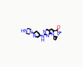 CN(C)C(=O)c1cc2cnc(Nc3ccc(N4CCNCC4)nc3)nc2n1C12CC(C1)C2